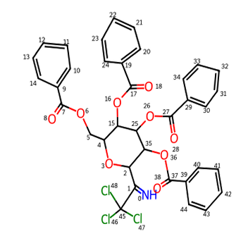 N=C(C1OC(COC(=O)c2ccccc2)C(OC(=O)c2ccccc2)C(OC(=O)c2ccccc2)C1OC(=O)c1ccccc1)C(Cl)(Cl)Cl